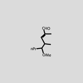 CCCC(OC)C(C)C=C(C)C=O